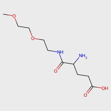 COCCOCCNC(=O)C(N)CCC(=O)O